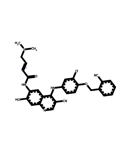 CN(C)C/C=C/C(=O)Nc1cc2c(Nc3ccc(OCc4ccccc4C#N)c(Cl)c3)c(C#N)cnc2cc1O